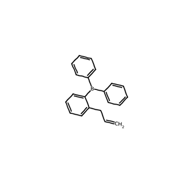 C=CCc1ccccc1B(c1ccccc1)c1ccccc1